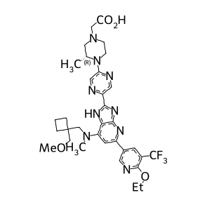 CCOc1ncc(-c2cc(N(C)CC3(COC)CCC3)c3[nH]c(-c4cnc(N5CCN(CC(=O)O)C[C@H]5C)cn4)nc3n2)cc1C(F)(F)F